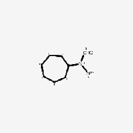 CCCN(C=O)C1CCCCCC1